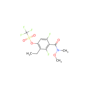 CCc1c(OS(=O)(=O)C(F)(F)F)cc(F)c(C(=O)N(C)OC)c1F